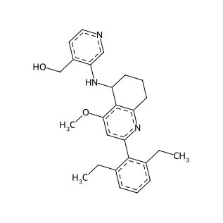 CCc1cccc(CC)c1-c1cc(OC)c2c(n1)CCCC2Nc1cnccc1CO